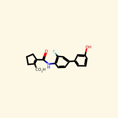 O=C(O)C1=C(C(=O)Nc2ccc(-c3cccc(O)c3)cc2F)CCC1